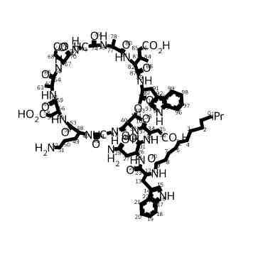 CC(C)CCCCCCCCC(=O)NC(Cc1c[nH]c2ccccc12)C(=O)NC(CC(N)=O)C(=O)NC(CC(=O)O)C(=O)NC1C(=O)NCC(=O)NC(CCCN)C(=O)NC(CC(=O)O)C(=O)NC(C)C(=O)NC(CC(=O)O)C(=O)NCC(=O)NC(C)C(=O)NC(C(C)CC(=O)O)C(=O)NC(Cc2c[nH]c3ccccc23)C(=O)OC1C